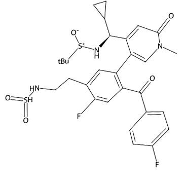 Cn1cc(-c2cc(CCN[SH](=O)=O)c(F)cc2C(=O)c2ccc(F)cc2)c([C@@H](N[S+]([O-])C(C)(C)C)C2CC2)cc1=O